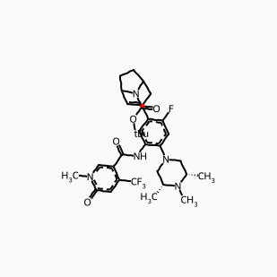 C[C@@H]1CN(c2cc(F)c(C3=CC4CCC(C3)N4C(=O)OC(C)(C)C)cc2NC(=O)c2cn(C)c(=O)cc2C(F)(F)F)C[C@H](C)N1C